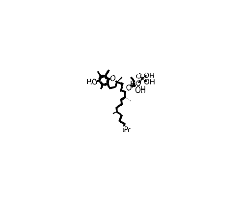 CCC(=O)O.Cc1c(C)c2c(c(C)c1O)CC[C@@](C)(CCC[C@H](C)CCC[C@H](C)CCCC(C)C)O2.O=P(O)(O)O